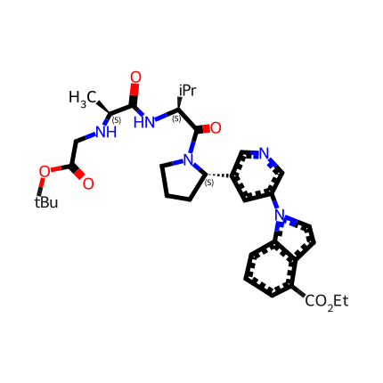 CCOC(=O)c1cccc2c1ccn2-c1cncc([C@@H]2CCCN2C(=O)[C@@H](NC(=O)[C@H](C)NCC(=O)OC(C)(C)C)C(C)C)c1